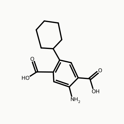 Nc1cc(C(=O)O)c(C2CCCCC2)cc1C(=O)O